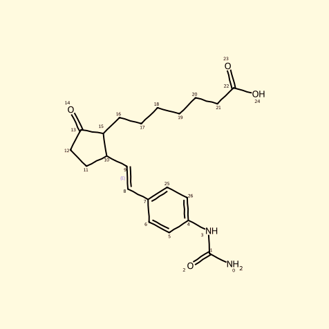 NC(=O)Nc1ccc(/C=C/C2CCC(=O)C2CCCCCCC(=O)O)cc1